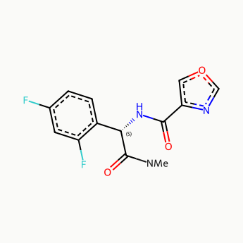 CNC(=O)[C@@H](NC(=O)c1cocn1)c1ccc(F)cc1F